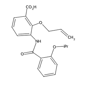 C=CCOc1c(NC(=O)c2ccccc2OC(C)C)cccc1C(=O)O